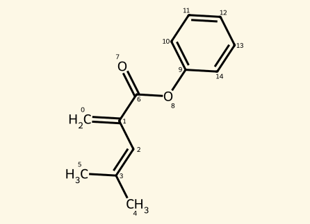 C=C(C=C(C)C)C(=O)Oc1ccccc1